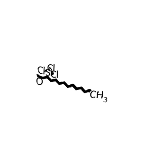 CCCCCCCCCCCC(C1CO1)[Si](Cl)(Cl)Cl